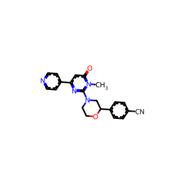 Cn1c(N2CCOC(c3ccc(C#N)cc3)C2)nc(-c2ccncc2)cc1=O